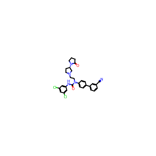 N#Cc1cccc(-c2ccc(N(CCN3CC[C@@H](N4CCCC4=O)C3)C(=O)Nc3cc(Cl)cc(Cl)c3)cc2)c1